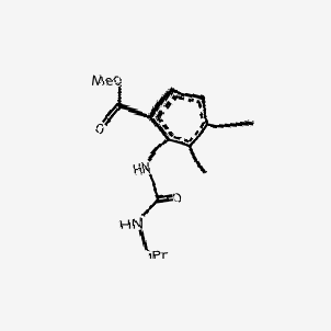 COC(=O)c1ccc(C)c(C)c1NC(=O)NC(C)C